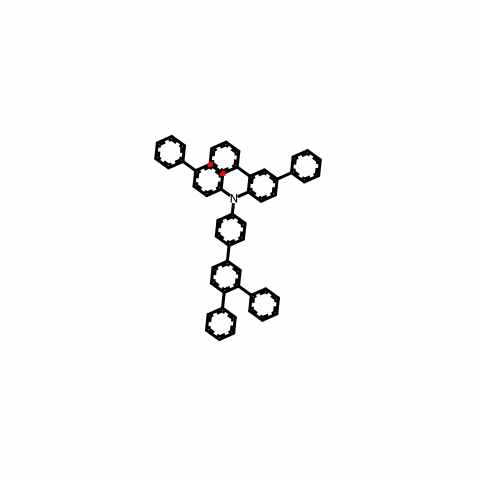 c1ccc(-c2ccc(N(c3ccc(-c4ccc(-c5ccccc5)c(-c5ccccc5)c4)cc3)c3ccc(-c4ccccc4)cc3-c3ccccc3)cc2)cc1